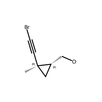 C[C@@]1(C#CBr)C[C@H]1C[O]